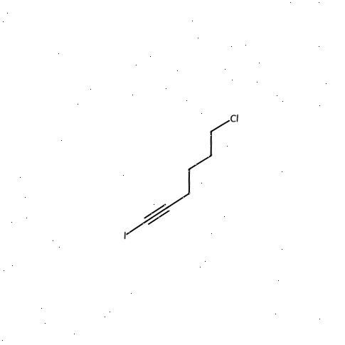 ClCCCCC#CI